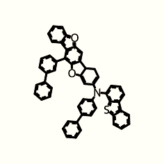 C1=C2Oc3c(cc4oc5ccccc5c4c3-c3cccc(-c4ccccc4)c3)C2CC=C1N(c1ccc(-c2ccccc2)cc1)c1cccc2c1sc1ccccc12